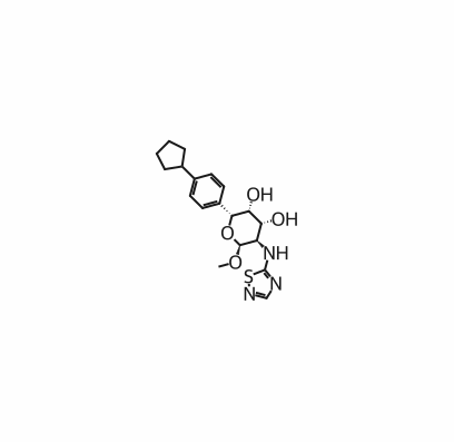 CO[C@H]1O[C@H](c2ccc(C3CCCC3)cc2)[C@H](O)[C@H](O)[C@H]1Nc1ncns1